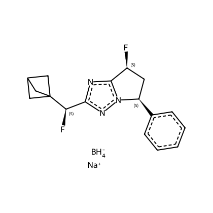 F[C@H](c1nc2n(n1)[C@H](c1ccccc1)C[C@@H]2F)C12CC(C1)C2.[BH4-].[Na+]